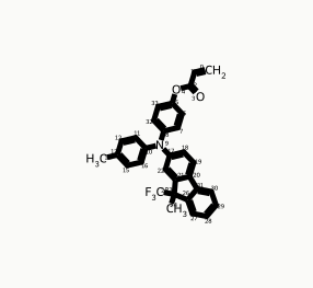 C=CC(=O)Oc1ccc(N(c2ccc(C)cc2)c2ccc3c(c2)C(C)(C(F)(F)F)c2ccccc2-3)cc1